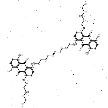 O=C1c2c(O)ccc(O)c2C(=O)c2c(NCCNCCO)ccc(NCCNCC=CCNCCNc3ccc(NCCNCCO)c4c3C(=O)c3c(O)ccc(O)c3C4=O)c21